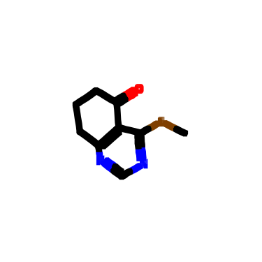 CSc1ncnc2c1C(=O)CCC2